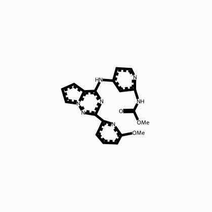 COC(=O)Nc1cc(Nc2nc(-c3cccc(OC)n3)nn3cccc23)ccn1